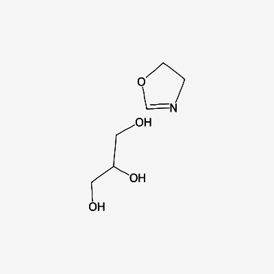 C1=NCCO1.OCC(O)CO